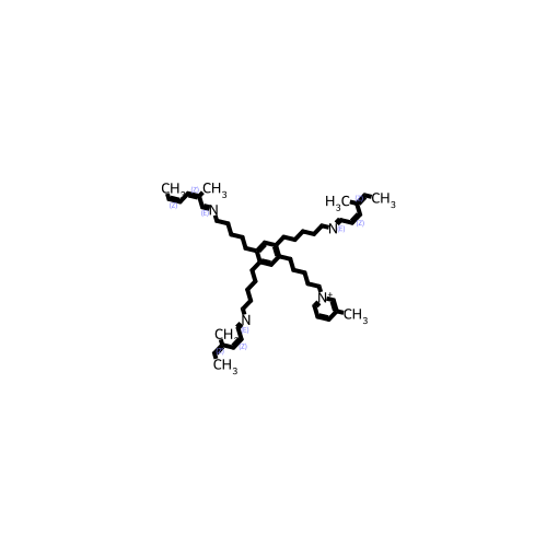 C\C=C/C=C(C)\C=N\CCCCCc1cc(CCCCC/N=C/C=C\C(C)=C/C)c(CCCCC[n+]2cccc(C)c2)cc1CCCCC/N=C/C=C\C(C)=C/C